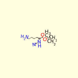 CC(C)(C)OC(=O)[C@H](CCCCN)NC#N